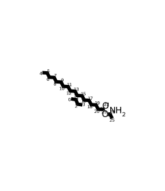 CCCC.CCCCCCCCCCCCCCCCCC(=O)OC(C)N